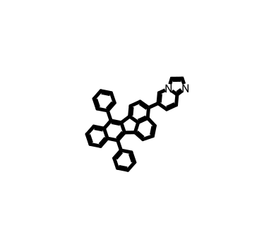 c1ccc(-c2c3c(c(-c4ccccc4)c4ccccc24)-c2ccc(-c4ccc5nccn5c4)c4cccc-3c24)cc1